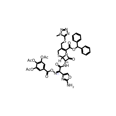 CC(=O)Oc1cc(C(=O)O/N=C(\C(=O)N[C@@H]2C(=O)N3C(C(=O)OC(c4ccccc4)c4ccccc4)=C(CSc4nnnn4C)CS[C@@H]23)c2coc(N)n2)cc(OC(C)=O)c1OC(C)=O